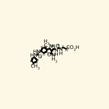 Cc1ccc(NC(=O)Nc2ccc(-c3nsc(NC(=O)NCCC(=O)O)c3C(N)=O)c(C)c2)cc1